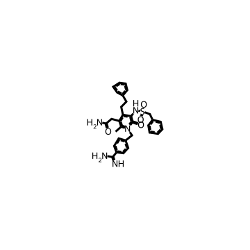 Cc1c(CC(N)=O)c(CCc2ccccc2)c(NS(=O)(=O)Cc2ccccc2)c(=O)n1Cc1ccc(C(=N)N)cc1